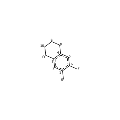 Cc1cc2c(cc1C)CCC[CH]2